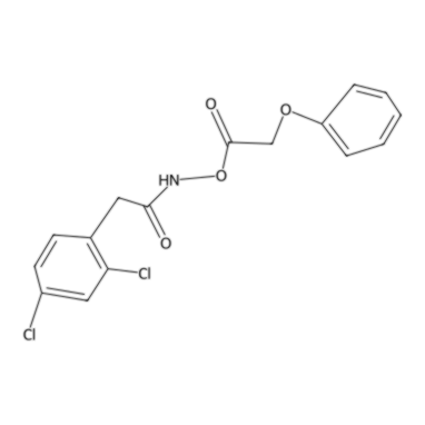 O=C(Cc1ccc(Cl)cc1Cl)NOC(=O)COc1ccccc1